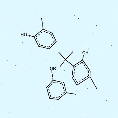 Cc1ccc(C(C)(C)C)c(O)c1.Cc1cccc(O)c1.Cc1ccccc1O